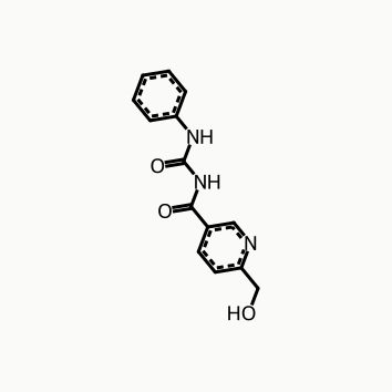 O=C(NC(=O)c1ccc(CO)nc1)Nc1ccccc1